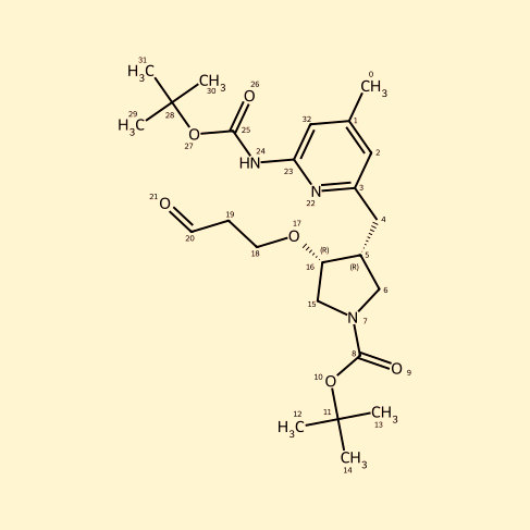 Cc1cc(C[C@@H]2CN(C(=O)OC(C)(C)C)C[C@@H]2OCCC=O)nc(NC(=O)OC(C)(C)C)c1